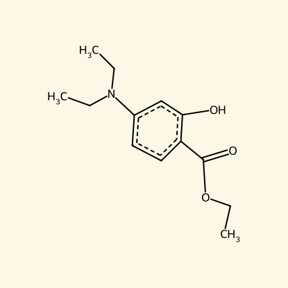 CCOC(=O)c1ccc(N(CC)CC)cc1O